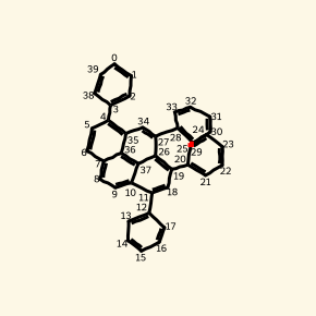 c1ccc(-c2ccc3ccc4c(-c5ccccc5)cc(-c5ccccc5)c5c(-c6ccccc6)cc2c3c45)cc1